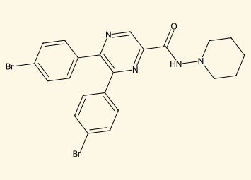 O=C(NN1CCCCC1)c1cnc(-c2ccc(Br)cc2)c(-c2ccc(Br)cc2)n1